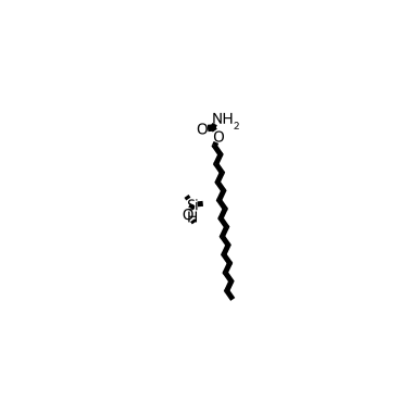 CCCCCCCCCCCCCCCCCCOC(N)=O.CO[SiH](C)C